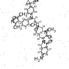 Cc1ccc(-c2c(C)noc2C)cc1N(CCCCCCN(C)C(=O)C(CCC=O)N1Cc2cc(N)ccc2C1=O)c1ccc(C2(C#N)CC2)cc1